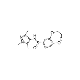 Cc1nn(C)c(C)c1N[S+]([O-])c1ccc2c(c1)OCCCO2